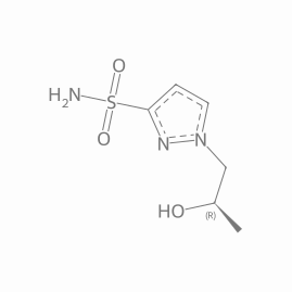 C[C@@H](O)Cn1ccc(S(N)(=O)=O)n1